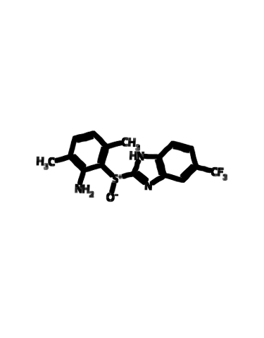 Cc1ccc(C)c([S+]([O-])c2nc3cc(C(F)(F)F)ccc3[nH]2)c1N